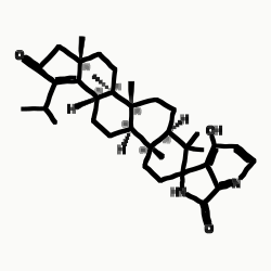 CC(C)C1=C2[C@H]3CC[C@@H]4[C@@]5(C)CCC6(NC(=O)c7nccc(O)c76)C(C)(C)[C@@H]5CC[C@@]4(C)[C@]3(C)CC[C@@]2(C)CC1=O